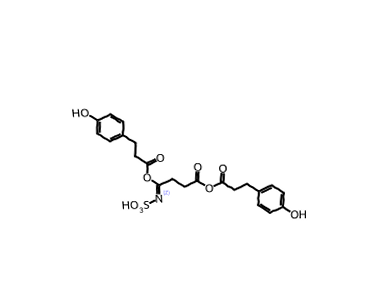 O=C(CC/C(=N/S(=O)(=O)O)OC(=O)CCc1ccc(O)cc1)OC(=O)CCc1ccc(O)cc1